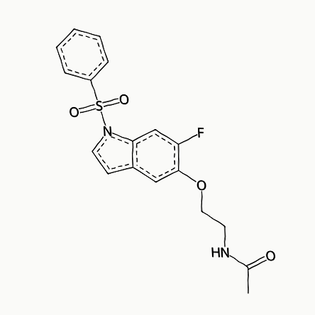 CC(=O)NCCOc1cc2ccn(S(=O)(=O)c3ccccc3)c2cc1F